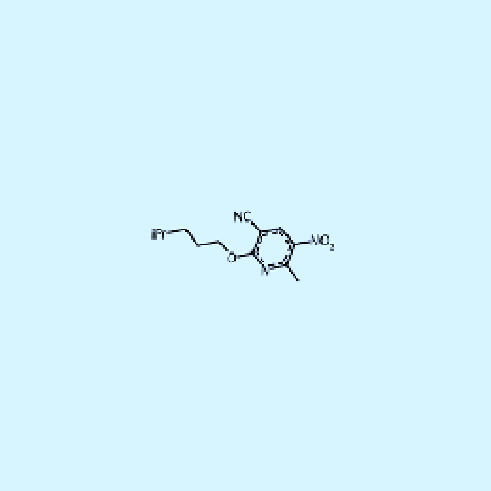 Cc1nc(OCCCC(C)C)c(C#N)cc1[N+](=O)[O-]